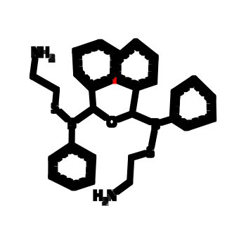 NCCSB(c1ccccc1)C(OC(B(SCCN)c1ccccc1)c1ccccc1)c1ccccc1